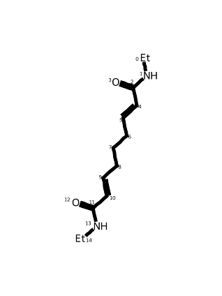 CCNC(=O)C=CCCCC=CC(=O)NCC